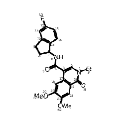 CCn1cc(C(=O)NC2CCc3cc(F)ccc32)c2cc(OC)c(OC)cc2c1=O